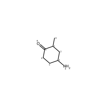 CC1CC(N)CCC1=O